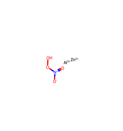 O=[N+]([O-])OO.[Al+3].[Zn+2]